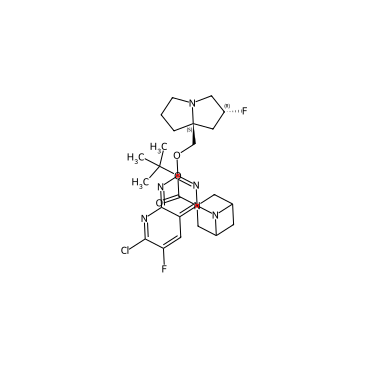 CC(C)(C)OC(=O)N1CC2CC(C1)N2c1nc(OC[C@@]23CCCN2C[C@H](F)C3)nc2nc(Cl)c(F)cc12